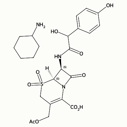 CC(=O)OCC1=C(C(=O)O)N2C(=O)[C@H](NC(=O)C(O)c3ccc(O)cc3)[C@@H]2S(=O)(=O)C1.NC1CCCCC1